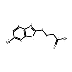 Nc1ccc2nc(CCCC(O)=S)sc2c1